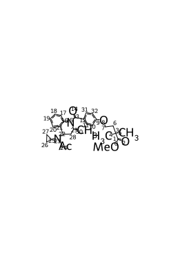 COC(=O)C(C)(C)CCOc1ccc(C(=O)N2c3ccccc3[C@H](N(C(C)=O)C3CC3)C[C@@H]2C)cc1